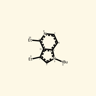 CCc1cn(C(C)(C)C)c2ccnc(CC)c12